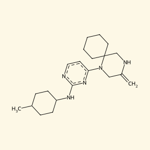 C=C1CN(c2ccnc(NC3CCC(C)CC3)n2)C2(CCCCC2)CN1